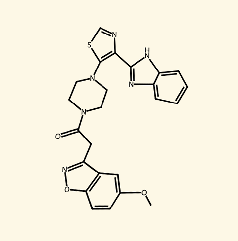 COc1ccc2onc(CC(=O)N3CCN(c4scnc4-c4nc5ccccc5[nH]4)CC3)c2c1